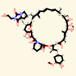 CO[C@@H]1C[C@H](C[C@@H](C)[C@@H]2CC(=O)[C@H](C)/C=C(\C)[C@@H](O)[C@@H](OC)C(=O)[C@H](C)C[C@H](C)/C=C/C=C/C=C(\C)[C@H](C[C@@H]3C[C@H]4C(=O)N(CCO)C(=O)N4C3)C[C@@H]3CC[C@@H](C)[C@@](O)(O3)C(=O)C(=O)N3CCCC[C@H]3C(=O)O2)CC[C@H]1O